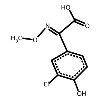 CO/N=C(/C(=O)O)c1ccc(O)c(Cl)c1